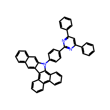 c1ccc(-c2cc(-c3ccccc3)nc(-c3ccc(-n4c5cc6ccccc6cc5c5c6ccccc6c6ccccc6c54)cc3)n2)cc1